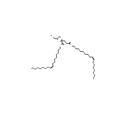 CCCCCCCC/C=C\CCCCCCCCNC(=O)CCC1(C(=O)NCCCCCCCC/C=C\CCCCCCCC)OCC(CN(C)C)O1